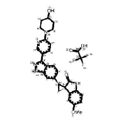 COc1ccc2c(c1)[C@]1(C[C@H]1c1ccc3c(-c4ccc(N5CCC(O)CC5)nc4)n[nH]c3c1)C(=O)N2.O=C(O)C(F)(F)F